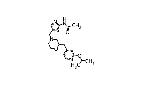 CC(=O)Nc1ncc(CN2CCO[C@H](Cc3ccnc(OC(C)C)c3)C2)s1